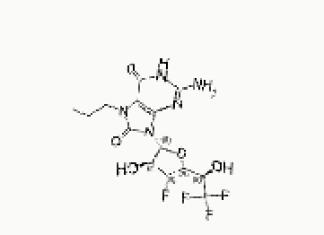 CCCn1c(=O)n([C@@H]2O[C@H]([C@@H](O)C(F)(F)F)[C@H](F)[C@H]2O)c2nc(N)[nH]c(=O)c21